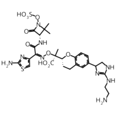 CC1(C)[C@H](NC(=O)/C(=N\O[C@](C)(C(=O)O)[C@H]2CCc3cc(C4CNC(NCCN)=N4)ccc3O2)c2csc(N)n2)C(=O)N1OS(=O)(=O)O